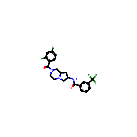 O=C(NC1CC2CN(C(=O)c3ccc(Cl)cc3F)CCN2C1)c1cccc(C(F)(F)F)c1